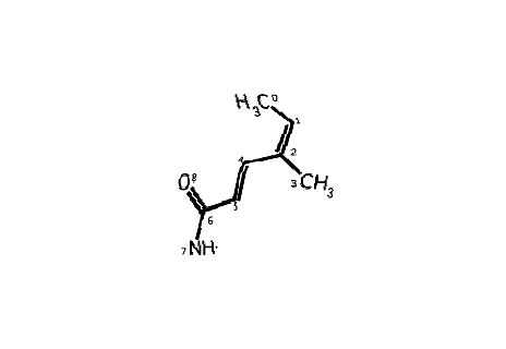 CC=C(C)C=CC([NH])=O